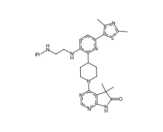 Cc1nc(C)c(-c2ccc(NCCNC(C)C)c(C3CCN(c4ncnc5c4C(C)(C)C(=O)N5)CC3)n2)s1